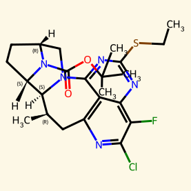 CCSc1nc2c3c(nc(Cl)c(F)c3n1)C[C@@H](C)[C@H]1[C@@H]3CC[C@H](CN21)N3C(=O)OC(C)(C)C